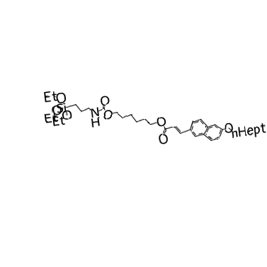 CCCCCCCOc1ccc2cc(/C=C/C(=O)OCCCCCCOC(=O)NCCC[Si](OCC)(OCC)OCC)ccc2c1